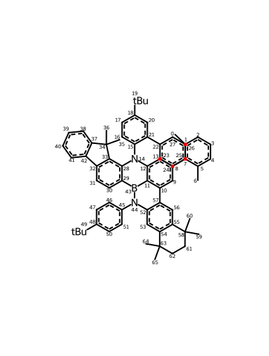 Cc1cccc(C)c1-c1cc2c3c(c1)N(c1ccc(C(C)(C)C)cc1-c1ccccc1)c1c(ccc4c1C(C)(C)c1ccccc1-4)B3N(c1ccc(C(C)(C)C)cc1)c1cc3c(cc1-2)C(C)(C)CCC3(C)C